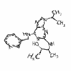 CC(C)n1cnc2c(NCc3cccnc3)nc(N[C@@H](C)[C@@H](C)O)nc21